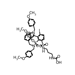 COc1ccc(CN(Cc2ccc(OC)cc2)S(=O)(=O)c2c(S(=O)(=O)NCCCNC(=O)O)ccc(I)c2-c2nnnn2Cc2ccc(OC)cc2)cc1